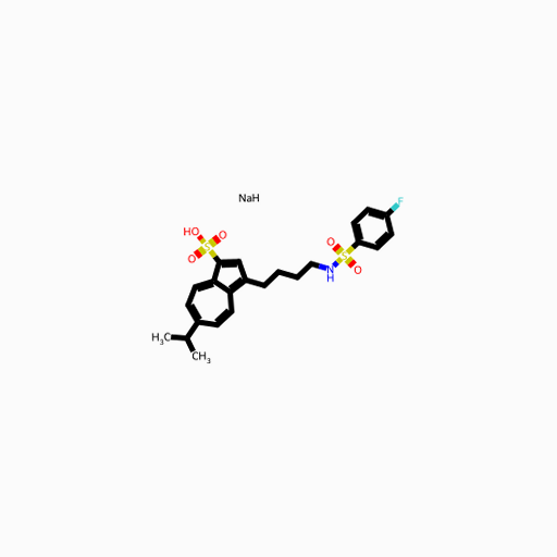 CC(C)c1ccc2c(CCCCNS(=O)(=O)c3ccc(F)cc3)cc(S(=O)(=O)O)c-2cc1.[NaH]